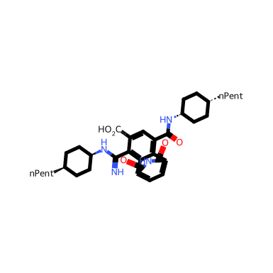 CCCCC[C@H]1CC[C@@H](NC(=N)c2c(C(=O)O)cc(C(=O)N[C@H]3CC[C@@H](CCCCC)CC3)c3c4ccc(c(=O)[nH]c4=O)c23)CC1